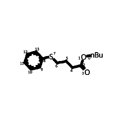 CCCCOC(=O)CCCSc1ccccc1